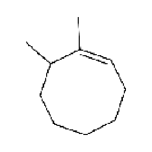 C/C1=C/CCCCCC1C